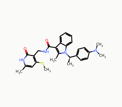 CSc1cc(C)[nH]c(=O)c1CNC(=O)c1c(C)n([C@H](C)c2ccc(N(C)C)cc2)c2ccccc12